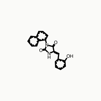 O=C1NC(=Cc2ccccc2O)C(=O)N1c1cccc2ccccc12